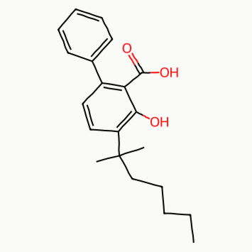 CCCCCC(C)(C)c1ccc(-c2ccccc2)c(C(=O)O)c1O